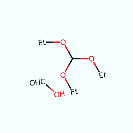 CCOC(OCC)OCC.O=CO